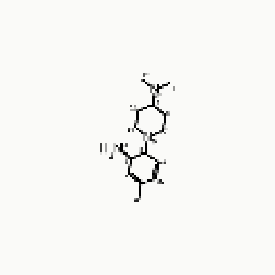 CC1=CC(N)C(N2CCC(N(C)C)CC2)C=C1